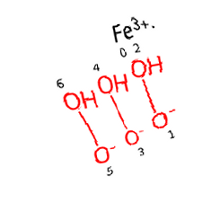 [Fe+3].[O-]O.[O-]O.[O-]O